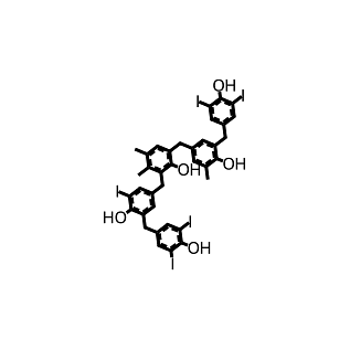 Cc1cc(Cc2cc(C)c(O)c(Cc3cc(I)c(O)c(I)c3)c2)c(O)c(Cc2cc(I)c(O)c(Cc3cc(I)c(O)c(I)c3)c2)c1C